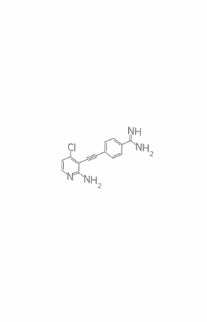 N=C(N)c1ccc(C#Cc2c(Cl)ccnc2N)cc1